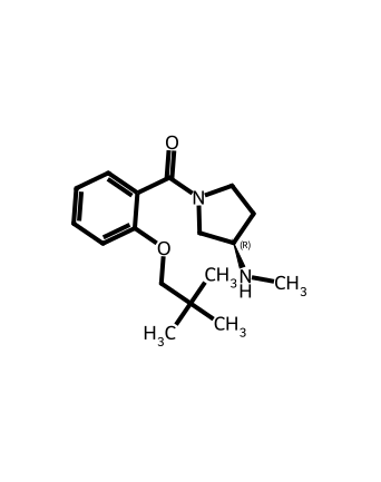 CN[C@@H]1CCN(C(=O)c2ccccc2OCC(C)(C)C)C1